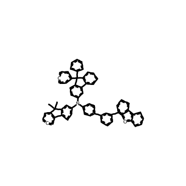 CC1(C)c2ccccc2-c2ccc(N(c3ccc(-c4cccc(-c5cccc6c5oc5ccccc56)c4)cc3)c3ccc4c(c3)-c3ccccc3C4(c3ccccc3)c3ccccc3)cc21